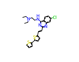 CCN(CC)CCNc1nc(C=Cc2ccc(-c3cccs3)s2)nc2cc(Cl)ccc12